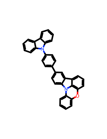 c1ccc2c(c1)Oc1cccc3c4cc(-c5ccc(-n6c7ccccc7c7ccccc76)cc5)ccc4n-2c13